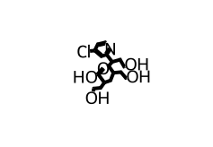 O=C(O)C(CCO)CC(CCO)CC(CCO)c1cc(Cl)ccn1